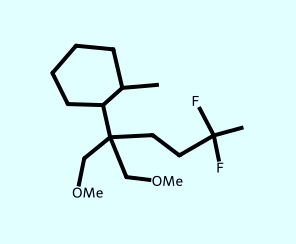 COCC(CCC(C)(F)F)(COC)C1CCCCC1C